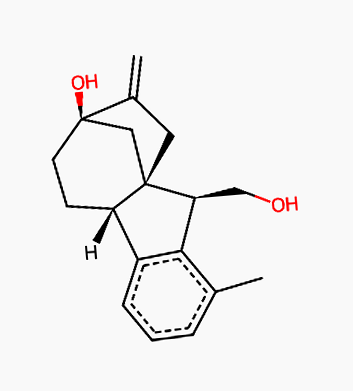 C=C1C[C@]23C[C@]1(O)CC[C@H]2c1cccc(C)c1[C@@H]3CO